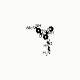 CNC(=N)c1ccc(C(=O)Nc2ccc(OCC(=O)NCCCN)cc2C(=O)Nc2ccccn2)cc1